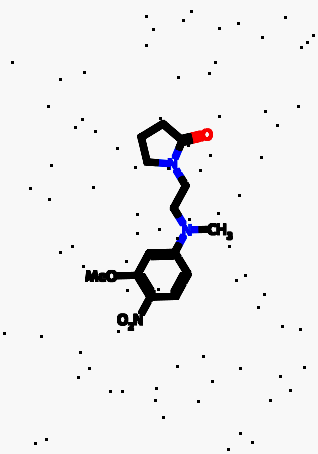 COc1cc(N(C)CCN2CCCC2=O)ccc1[N+](=O)[O-]